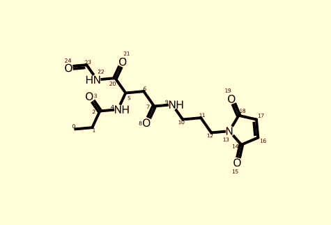 CCC(=O)NC(CC(=O)NCCCN1C(=O)C=CC1=O)C(=O)NC=O